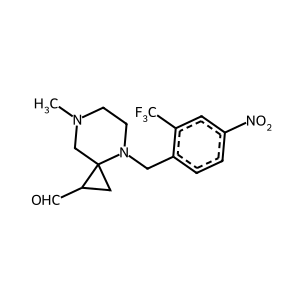 CN1CCN(Cc2ccc([N+](=O)[O-])cc2C(F)(F)F)C2(CC2C=O)C1